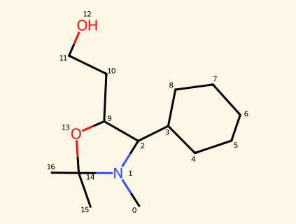 CN1C(C2CCCCC2)C(CCO)OC1(C)C